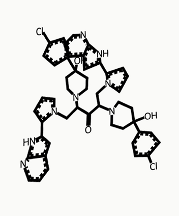 O=C(C(Cn1cccc1-c1cc2cccnc2[nH]1)N1CCC(O)(c2ccc(Cl)cc2)CC1)C(Cn1cccc1-c1cc2cccnc2[nH]1)N1CCC(O)(c2ccc(Cl)cc2)CC1